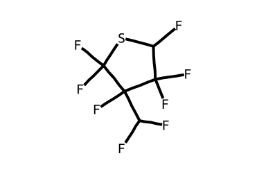 FC1SC(F)(F)C(F)(C(F)F)C1(F)F